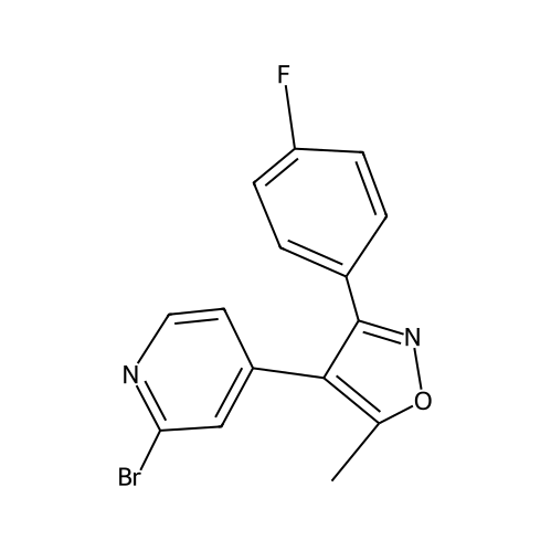 Cc1onc(-c2ccc(F)cc2)c1-c1ccnc(Br)c1